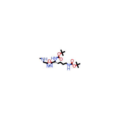 CNCc1nnc([C@@H](CCCCNC(=O)OC(C)(C)C)NC(=O)OC(C)(C)C)o1